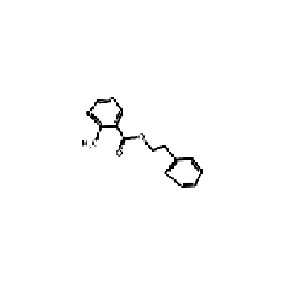 Cc1ccccc1C(=O)OCCc1ccccc1